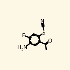 CC(=O)c1cc(N)c(F)cc1SC#N